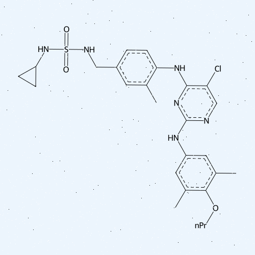 CCCOc1c(C)cc(Nc2ncc(Cl)c(Nc3ccc(CNS(=O)(=O)NC4CC4)cc3C)n2)cc1C